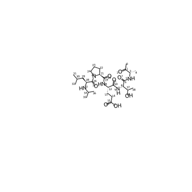 CC(=O)[C@H](C)NC(=O)[C@@H](NC(=O)[C@H](CCC(=O)O)NC(=O)[C@@H]1CCCN1C(=O)[C@H](CC(C)C)NC(C)C)C(C)O